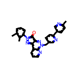 Cc1ccc(-c2ccc(Cn3nc4c(=O)n(-c5cccc(C)c5C)nc-4c4cccnc43)cn2)cn1